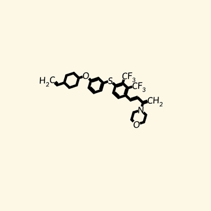 C=CC1CCC(Oc2cccc(Sc3ccc(/C=C/C(=C)N4CCOCC4)c(C(F)(F)F)c3C(F)(F)F)c2)CC1